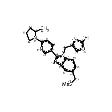 CCc1nc(Cn2c(-c3ccc(N4CCCC4C)nc3)nc3cc(CSC)ccc32)co1